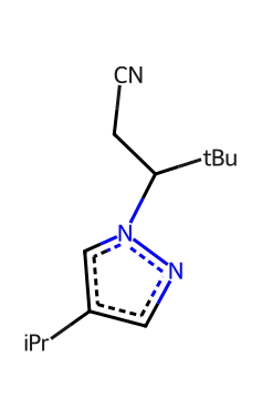 CC(C)c1cnn(C(CC#N)C(C)(C)C)c1